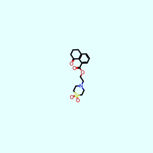 O=C(OCCN1CCS(=O)(=O)CC1)c1cccc2c1C(=O)CCC2